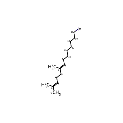 CC(C)=CCC/C(C)=C/CCCCCCCI